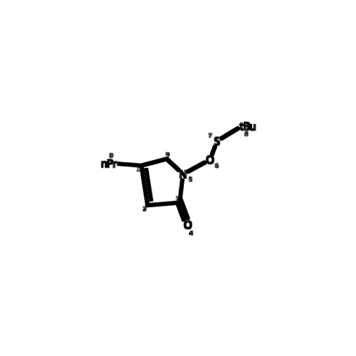 CCCC1=CC(=O)N(OSC(C)(C)C)C1